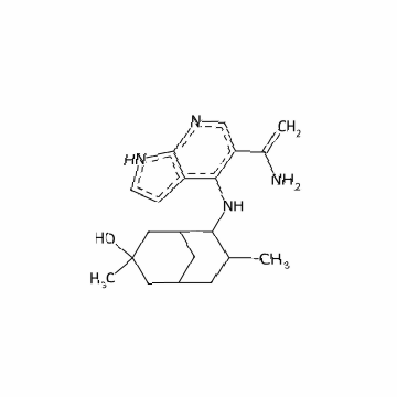 C=C(N)c1cnc2[nH]ccc2c1NC1C(C)CC2CC1CC(C)(O)C2